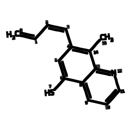 C=C/C=C\c1cc(S)c2cccnc2c1C